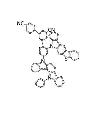 N#Cc1ccc(-c2cc(C#N)cc(-c3ccc(-n4c5ccccc5c5c4ccc4c6ccccc6n(-c6ccccc6)c45)cc3-n3c4ccccc4c4cc5c(cc43)sc3ccccc35)c2)cc1